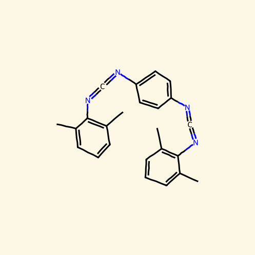 Cc1cccc(C)c1N=C=Nc1ccc(N=C=Nc2c(C)cccc2C)cc1